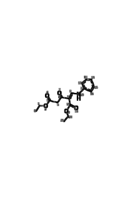 CCOC(=O)CC(=O)C(=CNc1ccccc1)C(=O)OCC